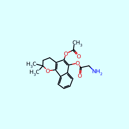 CC(=O)Oc1c2c(c3ccccc3c1OC(=O)CN)OC(C)(C)CC2